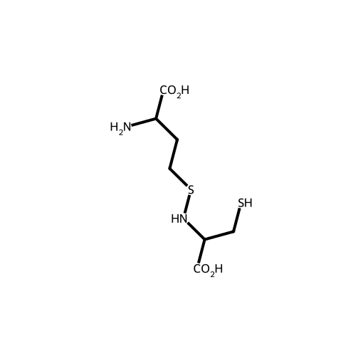 NC(CCSNC(CS)C(=O)O)C(=O)O